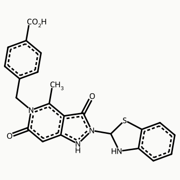 Cc1c2c(=O)n(C3Nc4ccccc4S3)[nH]c2cc(=O)n1Cc1ccc(C(=O)O)cc1